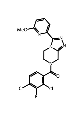 COc1cccc(-c2nnc3n2CCN(C(=O)c2ccc(Cl)c(F)c2Cl)C3)n1